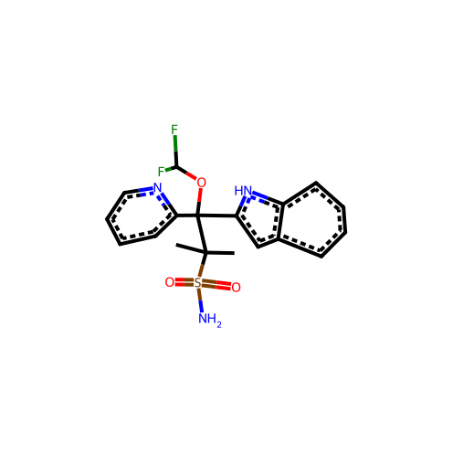 CC(C)(C(OC(F)F)(c1ccccn1)c1cc2ccccc2[nH]1)S(N)(=O)=O